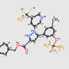 Cc1cc(OC(P)(P)P)cc(-c2cc(C(=O)OCc3ccccc3)nn2-c2cncc(C(F)(F)P)c2)c1